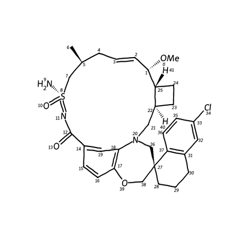 CO[C@H]1/C=C/C[C@H](C)C[S@](N)(=O)=NC(=O)c2ccc3c(c2)N(C[C@@H]2CC[C@H]21)C[C@@]1(CCCc2cc(Cl)ccc21)CO3